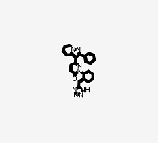 O=c1ccc(-c2c(-c3ccccc3)nn3ccccc23)nn1C1CCCCC1=Cc1nnn[nH]1